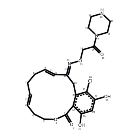 O=C1OCC/C=C/CC/C=C/C(=N/OCC(=O)N2CCNCC2)Cc2c(Cl)c(O)cc(O)c21